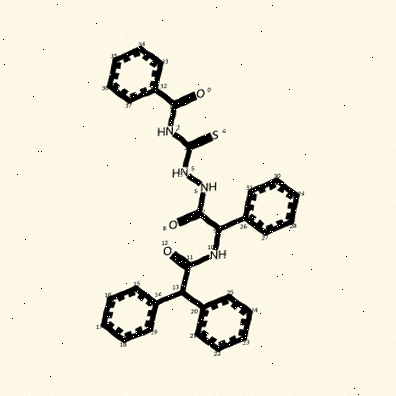 O=C(NC(=S)NNC(=O)C(NC(=O)C(c1ccccc1)c1ccccc1)c1ccccc1)c1ccccc1